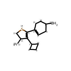 BC1CC=C(C2=C(C3CCC3)C(C(C)C)CS2)CC1